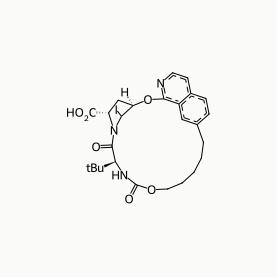 CC(C)(C)[C@@H]1NC(=O)OCCCCCc2ccc3ccnc(c3c2)O[C@@H]2C[C@@H](C(=O)O)N(C1=O)C2I